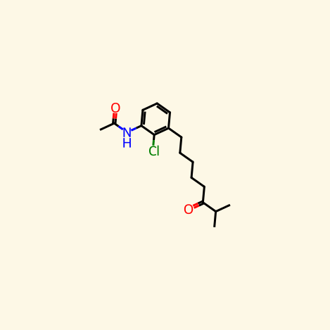 CC(=O)Nc1cccc(CCCCCC(=O)C(C)C)c1Cl